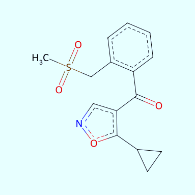 CS(=O)(=O)Cc1ccccc1C(=O)c1cnoc1C1CC1